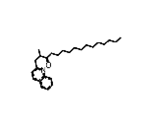 CCCCCCCCCCCCCC(=O)C(C)Cc1ccc2ccccc2n1